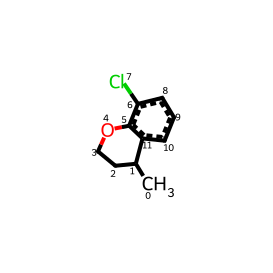 CC1CCOc2c(Cl)cccc21